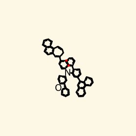 C1=Cc2c(ccc3ccccc23)C=C(c2ccc(N(c3ccc4oc5ccccc5c4c3)c3cc(-c4cc5ccccc5c5ccccc45)ccc3-c3ccccc3)cc2)C1